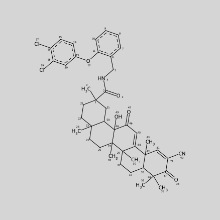 CC1(C(=O)NCc2ccccc2Oc2ccc(Cl)c(Cl)c2)CCC2(C)CCC3(C)C4(C)CCC5C(C)(C)C(=O)C(C#N)=CC5(C)C4=CC(=O)C3(O)C2C1